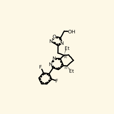 CC[C@H]1CC[C@](CC)(Cc2noc(CO)n2)c2nnc(-c3c(F)cccc3F)cc21